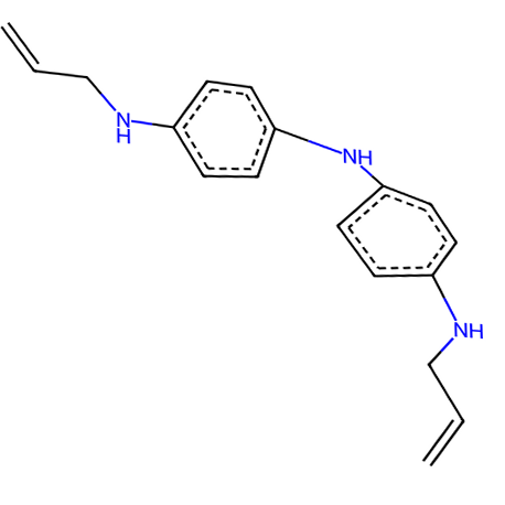 C=CCNc1ccc(Nc2ccc(NCC=C)cc2)cc1